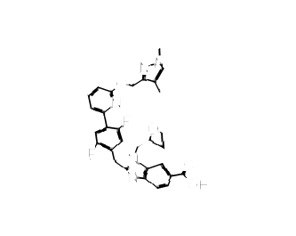 Cc1cn(C)nc1COc1cccc(-c2cc(F)c(Cc3nc4ccc(C(=O)O)cc4n3C[C@@H]3CCO3)cc2F)n1